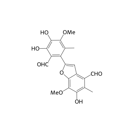 COc1c(C)c(-c2cc3c(C=O)c(C)c(O)c(OC)c3o2)c(C=O)c(O)c1O